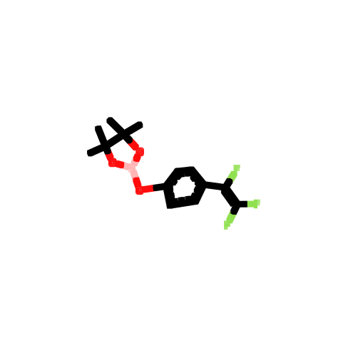 CC1(C)OB(Oc2ccc(C(F)=C(F)F)cc2)OC1(C)C